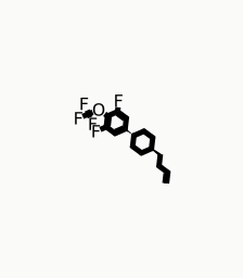 C=CCC[C@H]1CC[C@H](c2cc(F)c(OC(F)(F)F)c(F)c2)CC1